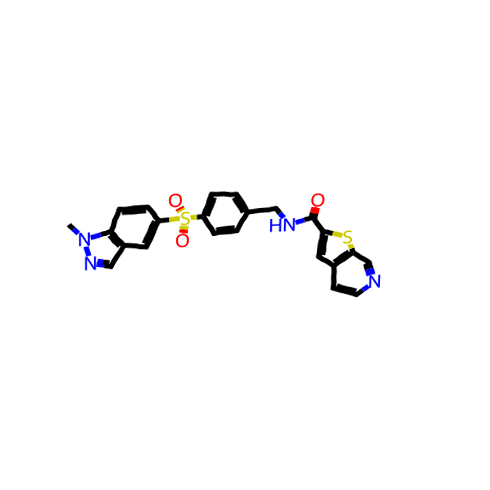 Cn1ncc2cc(S(=O)(=O)c3ccc(CNC(=O)c4cc5ccncc5s4)cc3)ccc21